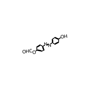 O=COc1ccc(/N=N/c2ccc(O)cc2)cc1